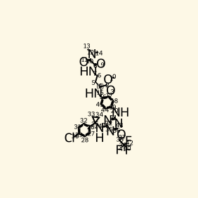 COC(=O)[C@H](CCNC(=O)C(=O)N(C)C)Nc1ccc(Nc2nc(NC3(c4ccc(Cl)cc4)CC3)nc(OCC(F)(F)F)n2)cc1